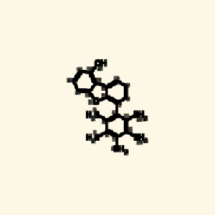 Bc1c(B)c(B)c(-c2cccc3c2oc2cccc(O)c23)c(B)c1B